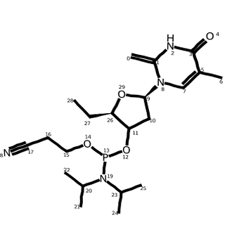 C=C1NC(=O)C(C)=CN1[C@H]1CC(OP(OCCC#N)N(C(C)C)C(C)C)[C@@H](CC)O1